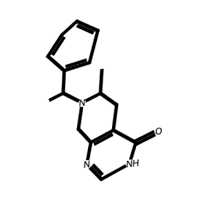 CC1Cc2c(nc[nH]c2=O)CN1C(C)c1ccccc1